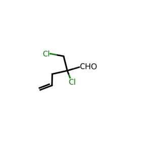 C=CCC(Cl)(C=O)CCl